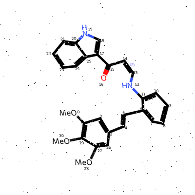 COc1cc(C=Cc2ccccc2N/C=C\C(=O)c2c[nH]c3ccccc23)cc(OC)c1OC